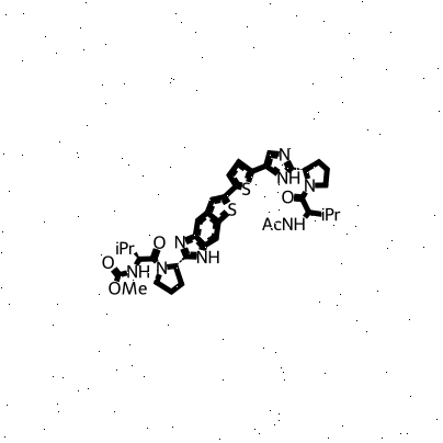 COC(=O)N[C@H](C(=O)N1CCC[C@H]1c1nc2cc3cc(-c4ccc(-c5cnc([C@@H]6CCCN6C(=O)C(NC(C)=O)C(C)C)[nH]5)s4)sc3cc2[nH]1)C(C)C